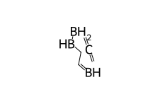 B=CCBB.C=C=C